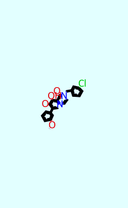 COc1cccc(-c2cn3ccn(Cc4cccc(Cl)c4)c(=O)c3c(O)c2=O)c1